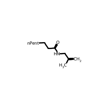 C=C(C)CNC(=O)CCCCCCC